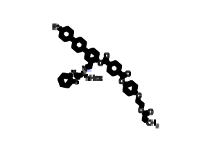 C=CC(=O)OCCOc1ccc(OC(=O)C2CCC(C(=O)Oc3ccc(C4CCC(C5CCC(CC)CC5)CC4)cc3/C=N/N(CCCCCC)c3nc4ccccc4s3)CC2)cc1